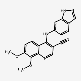 COc1ccc2c(Nc3ccc4cn[nH]c4c3)c(C#N)cnc2c1OC